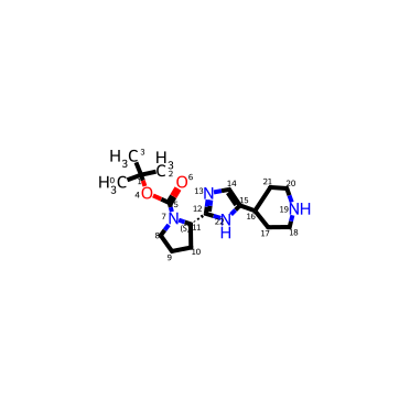 CC(C)(C)OC(=O)N1CCC[C@H]1c1ncc(C2CCNCC2)[nH]1